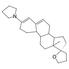 CC12CCC3C4CCC(N5CCCC5)=CC4=CCC3C1CC[C@@]21CCCO1